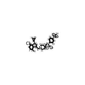 Cc1ccc(Cl)c2c1C(CN1CCC3(CC1)CN(c1ccc(N4OCO4)cc1)C(=O)O3)=CI2C1CC1